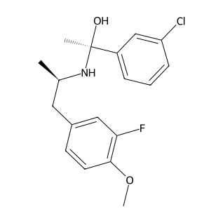 COc1ccc(C[C@@H](C)N[C@@](C)(O)c2cccc(Cl)c2)cc1F